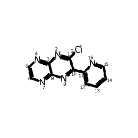 Clc1nc2nccnc2nc1-c1ccccn1